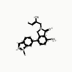 CC=C(C#N)CN1Cc2c(-c3ccc4cnn(C)c4c3)ccc(N)c2C1=O